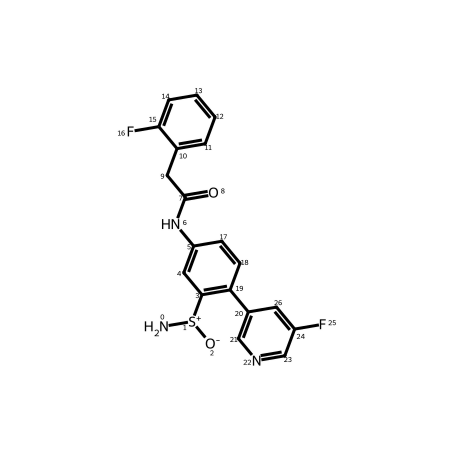 N[S+]([O-])c1cc(NC(=O)Cc2ccccc2F)ccc1-c1cncc(F)c1